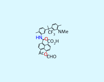 CNc1cc(C(C)(c2ccc(C)c(NC(=O)c3ccc(C(C)=O)c4c(OC=O)ccc(C(=O)O)c34)c2)C(F)(F)F)ccc1C